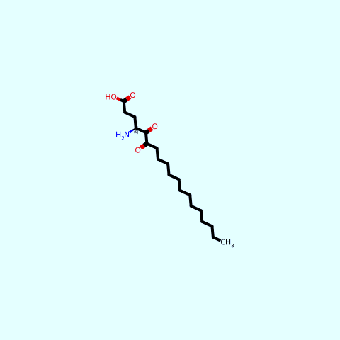 CCCCCCCCCCCCCC(=O)C(=O)[C@@H](N)CCC(=O)O